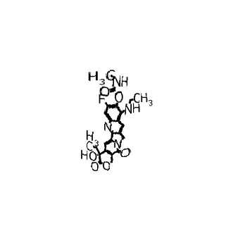 CCNc1c(OC(=O)NC)c(F)cc2nc3c(cc12)Cn1c-3cc2c(c1=O)COC(=O)[C@]2(O)CC